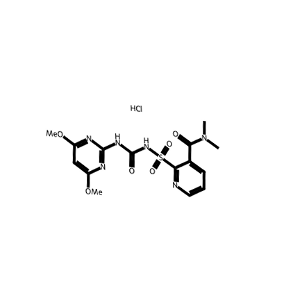 COc1cc(OC)nc(NC(=O)NS(=O)(=O)c2ncccc2C(=O)N(C)C)n1.Cl